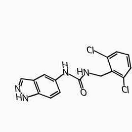 O=C(NCc1c(Cl)cccc1Cl)Nc1ccc2[nH]ncc2c1